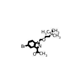 CC(=O)c1nn(COCC[Si](C)(C)C)c2ccc(Br)cc12